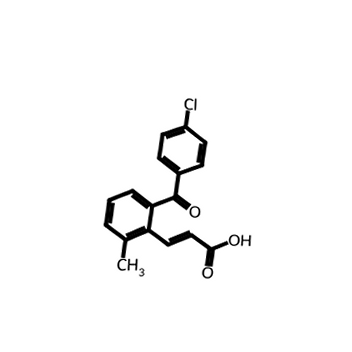 Cc1cccc(C(=O)c2ccc(Cl)cc2)c1/C=C/C(=O)O